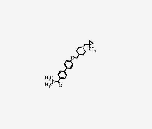 CN(C)C(=O)c1ccc(-c2ccc(OCC3CCN(CC4(C(F)(F)F)CC4)CC3)cc2)cc1